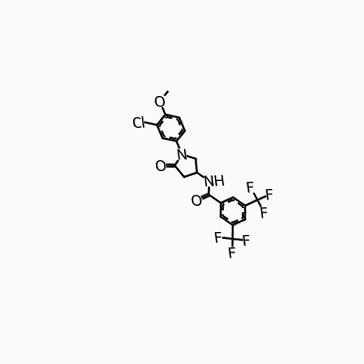 COc1ccc(N2CC(NC(=O)c3cc(C(F)(F)F)cc(C(F)(F)F)c3)CC2=O)cc1Cl